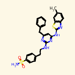 Cc1ccc2nc(Nc3cc(Cc4ccccc4)nc(NCCc4ccc(S(N)(=O)=O)cc4)n3)sc2c1